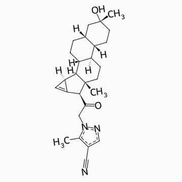 Cc1c(C#N)cnn1CC(=O)[C@H]1C2=C[C@H]2[C@H]2[C@@H]3CC[C@@H]4C[C@](C)(O)CC[C@@H]4[C@H]3CC[C@]12C